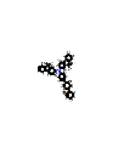 CC1(C)c2ccccc2-c2ccc(N(c3ccc(-c4ccc5c(c4)sc4ccccc45)cc3)c3ccc4c(c3)C(C)(C)c3ccccc3-4)cc21